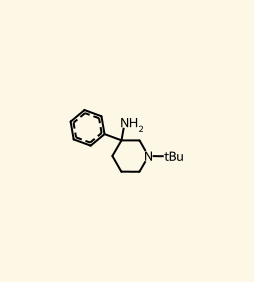 CC(C)(C)N1CCCC(N)(c2ccccc2)C1